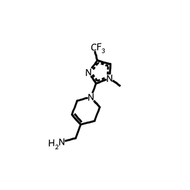 Cn1cc(C(F)(F)F)nc1N1CC=C(CN)CC1